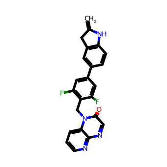 C=C1Cc2cc(-c3cc(F)c(Cn4c(=O)cnc5ncccc54)c(F)c3)ccc2N1